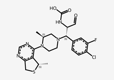 C[C@@H]1SCc2ncnc(N3CCN([C@@H](c4ccc(Cl)c(F)c4)C(C=O)NC(=O)O)C[C@@H]3C)c21